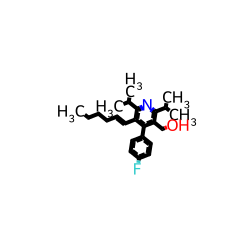 CCCC/C=C/c1c(C(C)C)nc(C(C)C)c(CO)c1-c1ccc(F)cc1